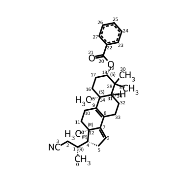 C[C@H](CC#N)[C@H]1CC=C2C3=C(CC[C@@]21C)[C@@]1(C)CC[C@H](OC(=O)c2ccccc2)C(C)(C)[C@@H]1CC3